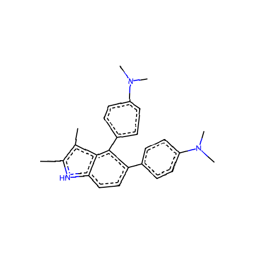 Cc1[nH]c2ccc(-c3ccc(N(C)C)cc3)c(-c3ccc(N(C)C)cc3)c2c1C